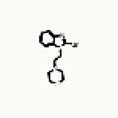 Brc1nc2ccccc2n1CCN1CCOCC1